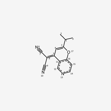 CC(C)C1=CC(=C(C#N)C#N)c2cnccc2O1